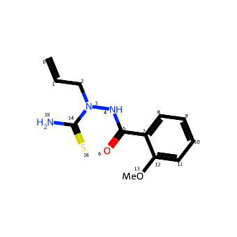 C=CCN(NC(=O)c1ccccc1OC)C(N)=S